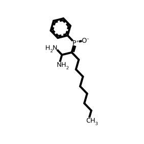 CCCCCCCCC(C(N)N)=[P+]([O-])c1ccccc1